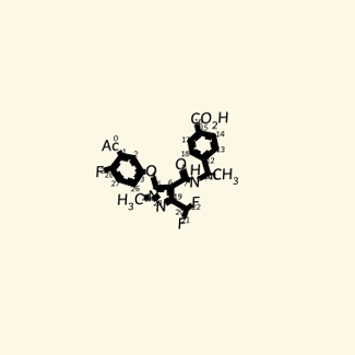 CC(=O)c1cc(Oc2c(C(=O)N[C@@H](C)c3ccc(C(=O)O)cc3)c(C(F)F)nn2C)ccc1F